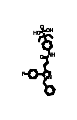 CCC(CC)(c1ccc(NC(=O)C=Cc2cnn(Cc3ccccc3)c2-c2ccc(F)cc2)cc1)P(=O)(O)O